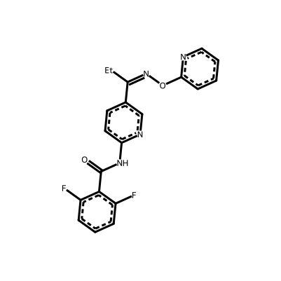 CCC(=NOc1ccccn1)c1ccc(NC(=O)c2c(F)cccc2F)nc1